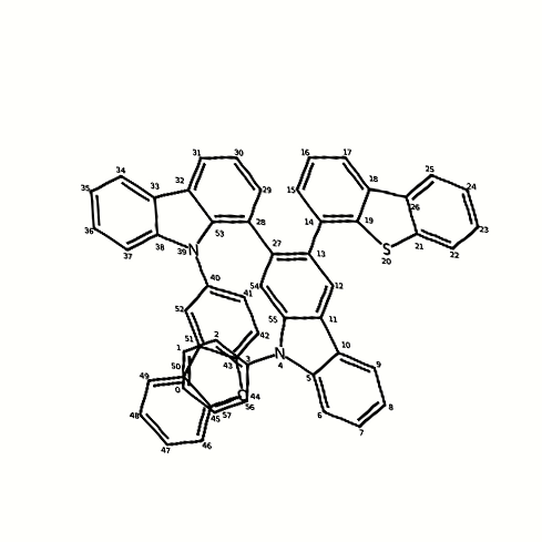 c1ccc(-n2c3ccccc3c3cc(-c4cccc5c4sc4ccccc45)c(-c4cccc5c6ccccc6n(-c6ccc7oc8ccccc8c7c6)c45)cc32)cc1